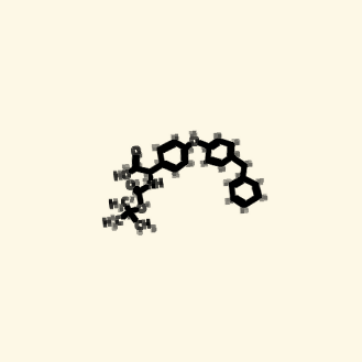 CC(C)(C)OC(=O)N[C@@H](C(=O)O)c1ccc(Oc2ccc(Cc3ccccc3)cc2)cc1